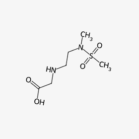 CN(CCNCC(=O)O)S(C)(=O)=O